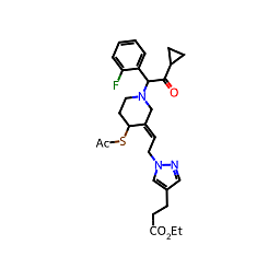 CCOC(=O)CCc1cnn(CC=C2CN(C(C(=O)C3CC3)c3ccccc3F)CCC2SC(C)=O)c1